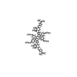 [C-]#[N+]C([N+]#[C-])=c1cc/c(=C\C2=CC=C(c3cc4c(s3)-c3cc5c(cc3C4(c3ccc(CCCCCC)cc3)c3ccc(CCCCCC)cc3)-c3sc(C4=CC=C(/C=c6\ccc(=C(C#N)C#N)s6)C(=N)/C4=N\S)cc3C5(c3ccc(CCCCCC)cc3)c3ccc(CCCCCC)cc3)/C(=N/S)C2=N)s1